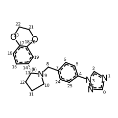 c1ncn(-c2ccc(CN3CCC[C@@H]3c3ccc4c(c3)OCCO4)cc2)n1